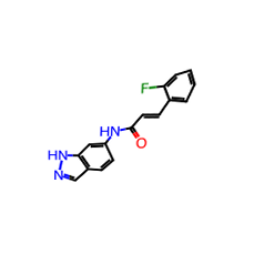 O=C(C=Cc1ccccc1F)Nc1ccc2cn[nH]c2c1